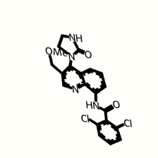 COCc1cnc2c(NC(=O)c3c(Cl)cccc3Cl)cccc2c1N1CCNC1=O